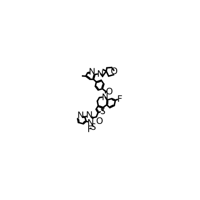 Cc1cnc(N2CC3(CCOCC3)C2)c(-c2ccc(C(=O)N3CCc4cc(C(=O)c5nc6ncccc6n5SF)sc4-c4ccc(F)cc43)cc2)c1